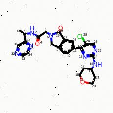 CC(NC(=O)CN1Cc2ccc(-c3nc(NC4CCOCC4)ncc3Cl)cc2C1=O)c1cnccn1